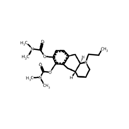 CCCN1CCC[C@@H]2Cc3c(ccc(OC(=O)N(C)C)c3OC(=O)N(C)C)C[C@H]21